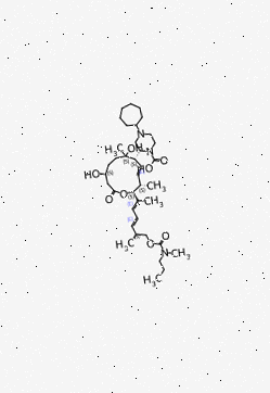 CCCN(C)C(=O)OC[C@@H](C)/C=C/C=C(\C)[C@H]1OC(=O)C[C@@H](O)CC[C@](C)(O)[C@H](C2CN(C3CCCCCC3)CCN2C(=O)O)/C=C/[C@@H]1C